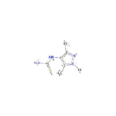 CCn1nc(C)c(NC(N)=S)c1C